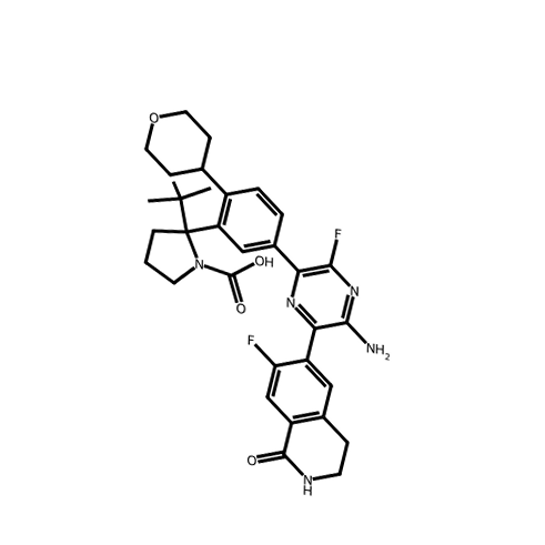 CC(C)(C)C1(c2cc(-c3nc(-c4cc5c(cc4F)C(=O)NCC5)c(N)nc3F)ccc2C2CCOCC2)CCCN1C(=O)O